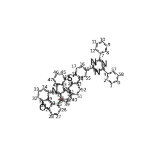 c1ccc(-c2nc(-c3ccccc3)nc(-c3ccc4sc5cc(CCc6cccc7oc8cccc(-n9c%10ccccc%10c%10ccccc%109)c8c67)ccc5c4c3)n2)cc1